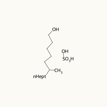 CCCCCCCC(C)CCCCCO.O=S(=O)(O)O